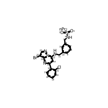 CCCS(=O)(=O)NCc1cccc(CNc2cc(-c3ccccc3Cl)nc3c(Br)cnn23)c1